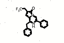 O=c1c(CC(F)(F)F)cc2c(Cc3ccccc3)[nH]c(-c3ccccc3)cn1-2